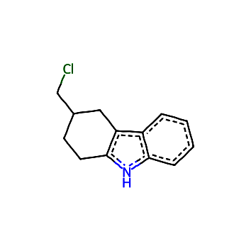 ClCC1CCc2[nH]c3ccccc3c2C1